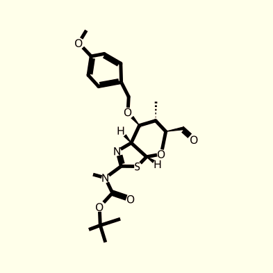 COc1ccc(CO[C@H]2[C@H](C)[C@@H](C=O)O[C@@H]3SC(N(C)C(=O)OC(C)(C)C)=N[C@H]23)cc1